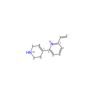 C=Cc1cccc(C2=CCNCC2)n1